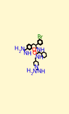 N=C(N)c1ccc(CC(C(=O)N[C@H](C(=O)NCC2CCN(C(=N)N)CC2)C2CCCCC2)c2cccc(Br)c2)cc1